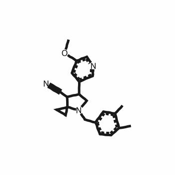 COc1cncc(C2CN(Cc3ccc(C)c(C)c3)C3(CC3)C2C#N)c1